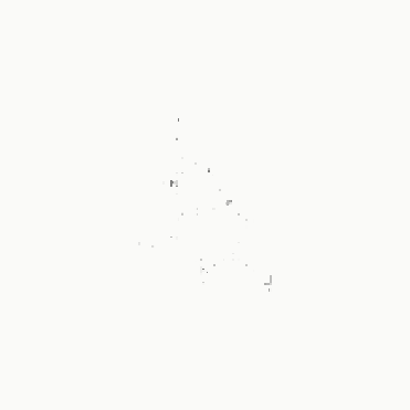 Cc1nc2c(C)nc(Cl)cc2o1